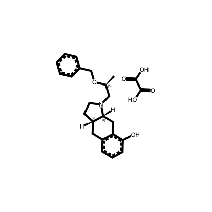 C[C@@H](CN1CC[C@H]2Cc3cccc(O)c3C[C@H]21)OCc1ccccc1.O=C(O)C(=O)O